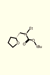 CCN(C[C@H]1CCCO1)C(=O)OC(C)(C)C